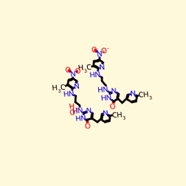 Cc1ccc(Cc2cnc(NCCCNc3ncc([N+](=O)[O-])cc3C)[nH]c2=O)cn1.Cc1ccc(Cc2cnc(NCCCNc3ncc([N+](=O)[O-])cc3C)[nH]c2=O)cn1.O